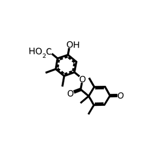 CC1=CC(=O)C=C(C)C1(C)C(=O)Oc1cc(O)c(C(=O)O)c(C)c1C